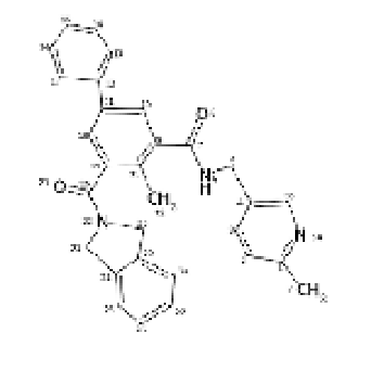 Cc1ccc(CNC(=O)c2cc(-c3ccccc3)cc(C(=O)N3Cc4ccccc4C3)c2C)cn1